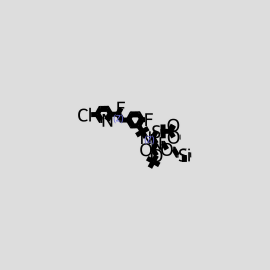 COC(=O)C(C)(C)S/C(=N\C(C)(C)c1cc(/C=C(\F)c2ccc(Cl)cn2)ccc1F)N(COCC[Si](C)(C)C)C(=O)OC(C)(C)C